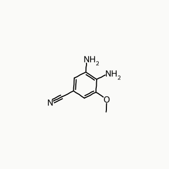 COc1cc(C#N)cc(N)c1N